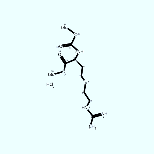 CC(=N)NCCSCC[C@H](NC(=O)OC(C)(C)C)C(=O)OC(C)(C)C.Cl